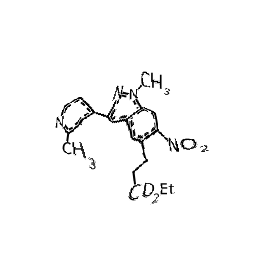 CCOC(=O)CCc1cc2c(-c3ccnc(C)c3)nn(C)c2cc1[N+](=O)[O-]